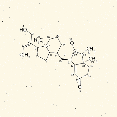 C/C=C(/CO)C1CCC2C(C[C@@H]3C4=CC(=O)CC[C@]4(C)C(C)[S+]3[O-])CCC[C@]12C